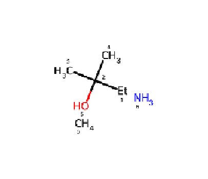 C.CCC(C)(C)O.N